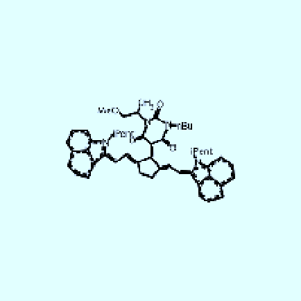 CCCCN1C(=O)C(=C2C(=CC=c3c4cccc5cccc(c54)n3C(C)CCC)CCC2=CC=c2c3cccc4cccc(c43)n2C(C)CCC)C(=O)N(C(C)COC)C1=O